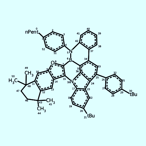 CCCCCc1ccc(N2B3c4oc5cc6c(cc5c4-n4c5ccc(C(C)(C)C)cc5c5c(-c7ccc(C(C)(C)C)cc7)cc(c3c54)-c3ccccc32)C(C)(C)CCC6(C)C)cc1